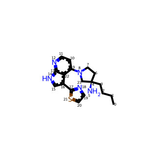 CCCC[C@@]1(N)CCN(c2ccnc3[nH]cc(-c4nccs4)c23)C1